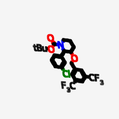 CC(C)(C)OC(=O)N1CCCC(OCc2cc(C(F)(F)F)cc(C(F)(F)F)c2)C1c1cccc(Cl)c1